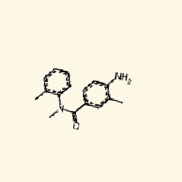 Cc1cc(C(=O)N(C)c2ccccc2C)ccc1N